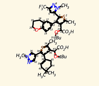 Cc1sc(-c2cc(C(F)(F)F)nn2C)c(-c2ccc3c(c2)CCCO3)c1C(OC(C)(C)C)C(=O)O.Cc1sc(-c2cnn(C)c2)c(C2=CCC(C)(C)CC2)c1C(OC(C)(C)C)C(=O)O